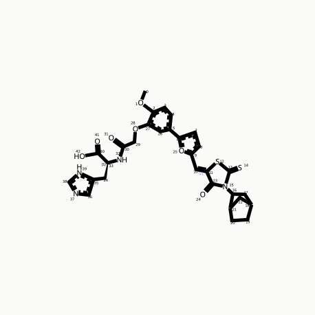 COc1ccc(-c2ccc(/C=C3\SC(=S)N(C4CC5CCC4C5)C3=O)o2)cc1OCC(=O)N[C@@H](Cc1cnc[nH]1)C(=O)O